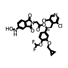 O=C(CN1C(=O)c2ccc(NO)cc2C1=O)O[C@@H](Cc1c(Cl)cncc1Cl)c1ccc(OC(F)F)c(OCC2CC2)c1